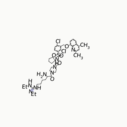 CC/N=C(/NCC)NCCCCC(N)C(=O)N1CCN(C(=O)C2(NS(=O)(=O)c3ccc(Cl)c(COc4cccc5c(C)cc(C)nc45)c3Cl)CCCC2)CC1